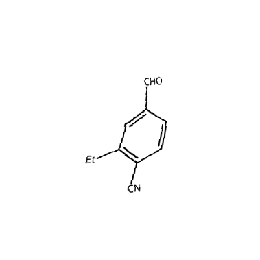 CCc1cc(C=O)ccc1C#N